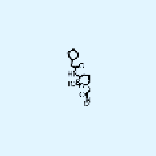 O=NC(=O)C[C@H]1C=CCC(NC(=O)CC2CCCCC2)B(O)O1